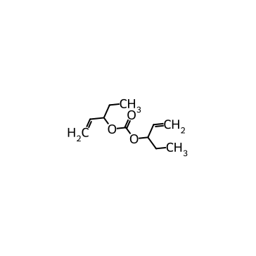 C=CC(CC)OC(=O)OC(C=C)CC